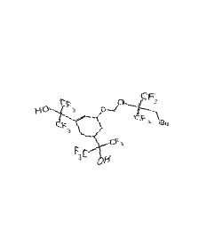 CCC(C)CC(OCOC1CC(C(O)(C(F)(F)F)C(F)(F)F)CC(C(O)(C(F)(F)F)C(F)(F)F)C1)(C(F)(F)F)C(F)(F)F